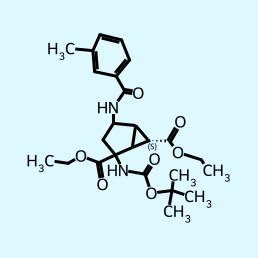 CCOC(=O)[C@H]1C2C(NC(=O)c3cccc(C)c3)CC(NC(=O)OC(C)(C)C)(C(=O)OCC)C21